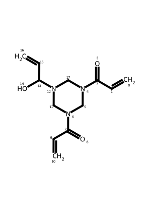 C=CC(=O)N1CN(C(=O)C=C)CN(C(O)C=C)C1